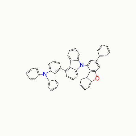 C1=CCC2C(=C1)Oc1cc(-c3ccccc3)cc(-n3c4ccccc4c4c(-c5cccc6c5c5ccccc5n6-c5ccccc5)cccc43)c12